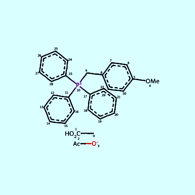 CC(=O)O.CC(=O)[O-].COc1ccc(C[P+](c2ccccc2)(c2ccccc2)c2ccccc2)cc1